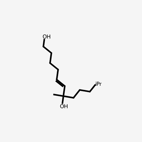 CC(C)CCCC(C)(O)C=CCCCCO